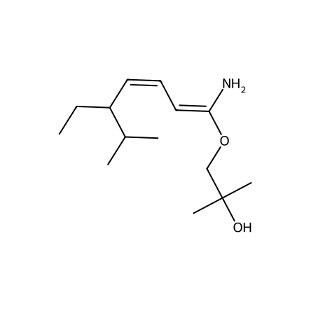 CCC(/C=C\C=C(/N)OCC(C)(C)O)C(C)C